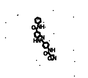 O=C(Nc1ccccc1)c1ccc2[nH]c(-c3ccc(NC(=O)c4cnco4)cc3)nc2c1